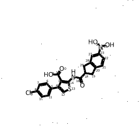 O=C(O)c1c(-c2ccc(Cl)cc2)csc1NC(=O)C1Cc2ccc(N(O)O)cc2C1